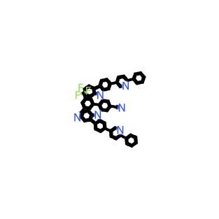 N#Cc1cc(-c2c(-n3c4ccccc4c4ccc(-c5ccc(-c6ccccc6)nc5)cc43)cc(C#N)cc2-n2c3ccccc3c3ccc(-c4ccc(-c5ccccc5)nc4)cc32)cc(C(F)(F)F)c1